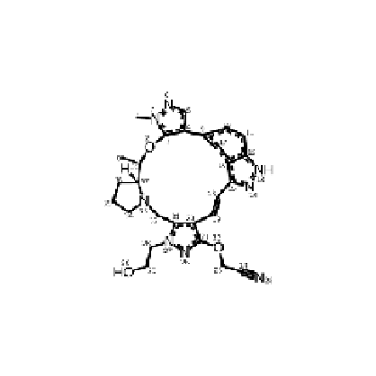 C[C@H]1Oc2c(cnn2C)-c2ccc3[nH]nc(c3c2)/C=C/c2c(OCC#N)nn(CCO)c2CN2CCC[C@H]12